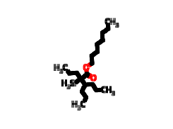 CCCCCCCCOC(=O)C([SiH3])(CCC)C(CCC)CCC